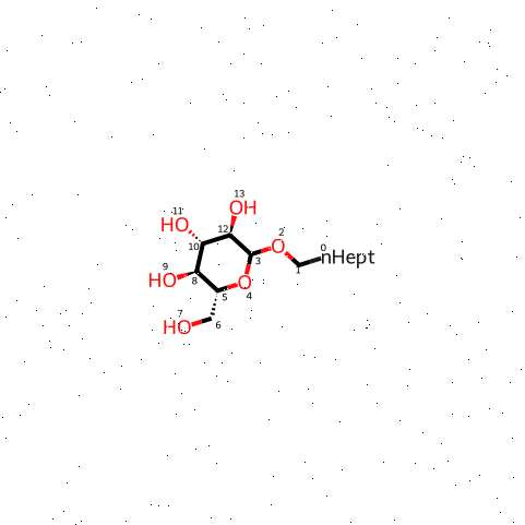 CCCCCCCCOC1O[C@H](CO)[C@@H](O)[C@H](O)[C@H]1O